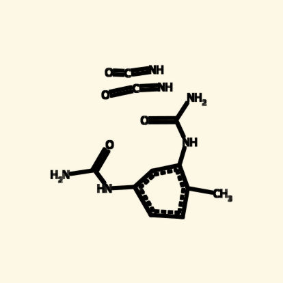 Cc1ccc(NC(N)=O)cc1NC(N)=O.N=C=O.N=C=O